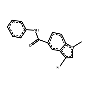 CC(C)c1cn(C)c2ccc(C(=O)Nc3ccccc3)cc12